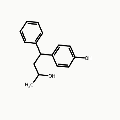 CC(O)CC(c1ccccc1)c1ccc(O)cc1